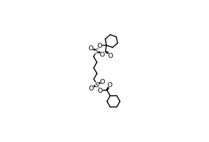 O=CC1(OS(=O)(=O)CCCCCS(=O)(=O)OC(=O)C2CCCCC2)CCCCC1